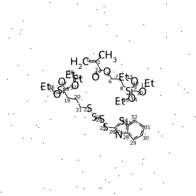 C=C(C)C(=O)OCCC[Si](OCC)(OCC)OCC.CCO[Si](CCCSSSSc1nc2ccccc2s1)(OCC)OCC